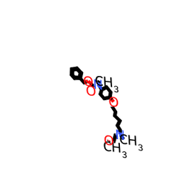 COCCN(C)CCCCCCOC1CCC(N(C)C(=O)OCc2ccccc2)CC1